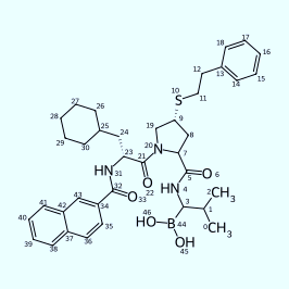 CC(C)C(NC(=O)C1C[C@@H](SCCc2ccccc2)CN1C(=O)[C@@H](CC1CCCCC1)NC(=O)c1ccc2ccccc2c1)B(O)O